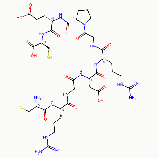 N=C(N)NCCC[C@H](NC(=O)[C@H](CC(=O)O)NC(=O)CNC(=O)[C@H](CCCNC(=N)N)NC(=O)[C@@H](N)CS)C(=O)NCC(=O)N1CCC[C@H]1C(=O)N[C@@H](CCC(=O)O)C(=O)N[C@@H](CS)C(=O)O